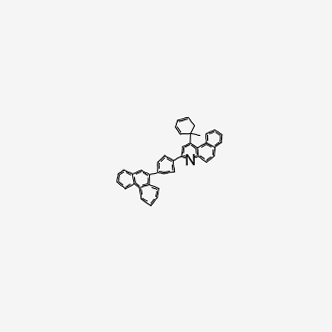 CC1(c2cc(-c3ccc(-c4cc5ccccc5c5ccccc45)cc3)nc3ccc4ccccc4c23)C=CC=CC1